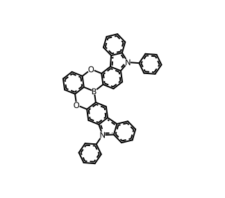 c1ccc(-n2c3ccccc3c3cc4c(cc32)Oc2cccc3c2B4c2ccc4c(c2O3)c2ccccc2n4-c2ccccc2)cc1